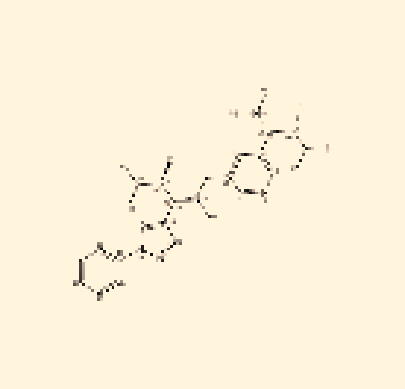 CC(C)[C@@H](C)[C@H](c1cncc(CN(C)[C@@H](c2cnn(-c3ccccc3)c2)[C@H](C)C(C)C)c1)N(C)C